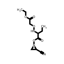 CCOC(=O)CONC(CC)C(=O)ON1CC1C#N